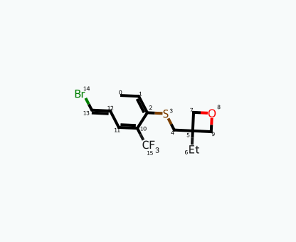 C\C=C(SCC1(CC)COC1)/C(=C\C=C\Br)C(F)(F)F